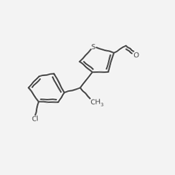 CC(c1cccc(Cl)c1)c1csc(C=O)c1